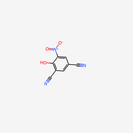 N#Cc1cc(C#N)c(O)c([N+](=O)[O-])c1